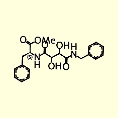 COC(=O)[C@H](Cc1ccccc1)NC(=O)C(O)C(O)C(=O)NCc1ccccc1